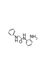 Nc1ccccc1NC(=O)CNc1ccccc1